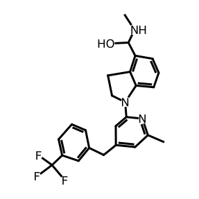 CNC(O)c1cccc2c1CCN2c1cc(Cc2cccc(C(F)(F)F)c2)cc(C)n1